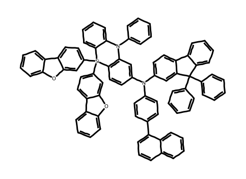 c1ccc(N2c3ccccc3[Si](c3ccc4c(c3)oc3ccccc34)(c3ccc4c(c3)oc3ccccc34)c3ccc(N(c4ccc(-c5cccc6ccccc56)cc4)c4ccc5c(c4)C(c4ccccc4)(c4ccccc4)c4ccccc4-5)cc32)cc1